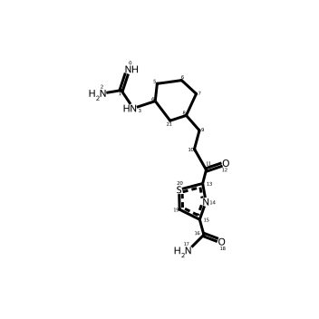 N=C(N)NC1CCCC(C[CH]C(=O)c2nc(C(N)=O)cs2)C1